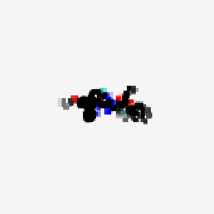 C#C[C]1O[C@@H](n2cnc3c(NC(c4ccccc4)(c4ccccc4)c4ccc(OC)cc4)nc(F)nc32)[C@@H](F)[C@@H]1O[Si](C)(C)C(C)(C)C